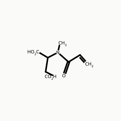 C=CC(=O)N(C)C(CC(=O)O)C(=O)O